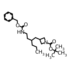 CCCC(CCNC(=O)OCc1ccccc1)CC1CN(C(=O)OC(C)(C)C)C1